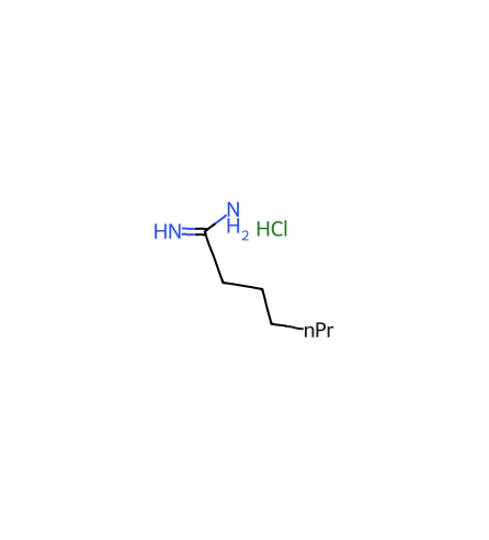 CCCCCCC(=N)N.Cl